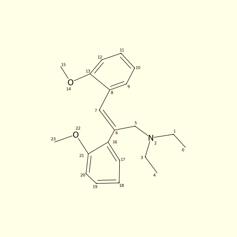 CCN(CC)C/C(=C\c1ccccc1OC)c1ccccc1OC